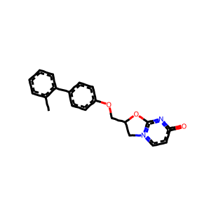 Cc1ccccc1-c1ccc(OCC2Cn3ccc(=O)nc3O2)cc1